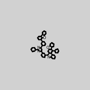 c1ccc(-c2nc(-c3cccc(-c4nc5ccccc5c5c(-c6ccccc6)c6c(cc45)oc4ccccc46)c3)cc(-c3cccc(-c4cccc5c4oc4ccccc45)c3)n2)cc1